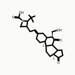 CC(C)(C)C1C(C/C=C2\CC[C@]3(C)C4CC[C@]5(C)C(=O)CCC5C4C(=O)[C@H](CO)C3C2)CN1C(=O)O